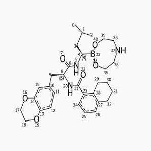 CC(C)C[C@H](NC(=O)[C@H](Cc1ccc2c(c1)OCCO2)NC(=O)c1cccc2c1CCCC2)B1OCCNCCO1